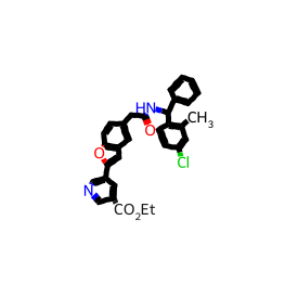 CCOC(=O)c1cncc(-c2cc3cc(CC(=O)NC(c4ccccc4)c4ccc(Cl)cc4C)ccc3o2)c1